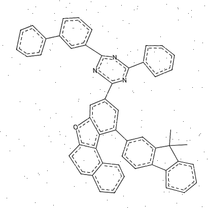 CC1(C)c2ccccc2-c2ccc(-c3cc(-c4nc(-c5ccccc5)nc(-c5cccc(-c6ccccc6)c5)n4)cc4oc5ccc6ccccc6c5c34)cc21